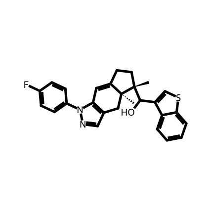 C[C@]12Cc3cnn(-c4ccc(F)cc4)c3C=C1CC[C@]2(C)C(O)c1csc2ccccc12